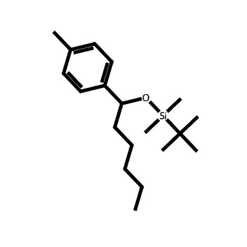 CCCCCC(O[Si](C)(C)C(C)(C)C)c1ccc(C)cc1